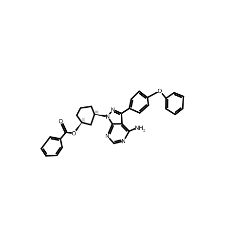 Nc1ncnc2c1c(-c1ccc(Oc3ccccc3)cc1)nn2[C@@H]1CCC[C@H](OC(=O)c2ccccc2)C1